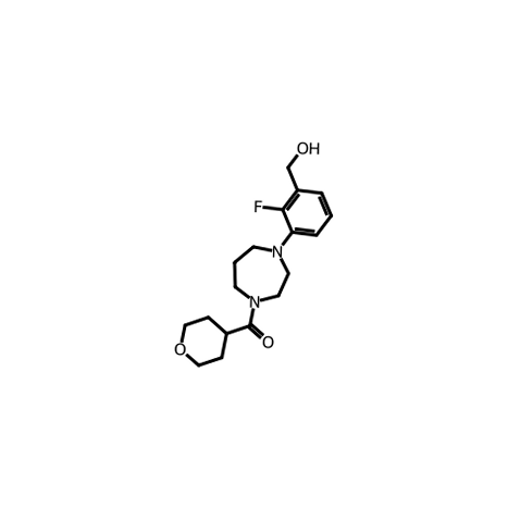 O=C(C1CCOCC1)N1CCCN(c2cccc(CO)c2F)CC1